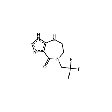 O=C1c2nc[nH]c2NCCN1CC(F)(F)F